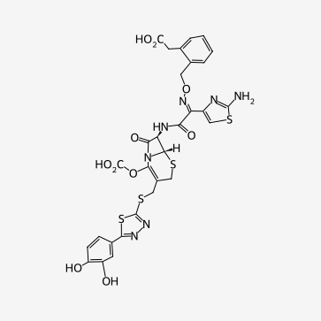 Nc1nc(C(=NOCc2ccccc2CC(=O)O)C(=O)N[C@@H]2C(=O)N3C(OC(=O)O)=C(CSc4nnc(-c5ccc(O)c(O)c5)s4)CS[C@@H]23)cs1